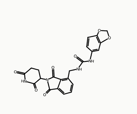 O=C1CCC(N2C(=O)c3cccc(CNC(=O)Nc4ccc5c(c4)OCO5)c3C2=O)C(=O)N1